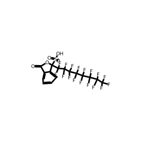 O=C1OC(C(F)(F)C(F)(F)C(F)(F)C(F)(F)C(F)(F)C(F)(F)C(F)(F)C(F)(F)F)(S(=O)(=O)O)c2ccccc21